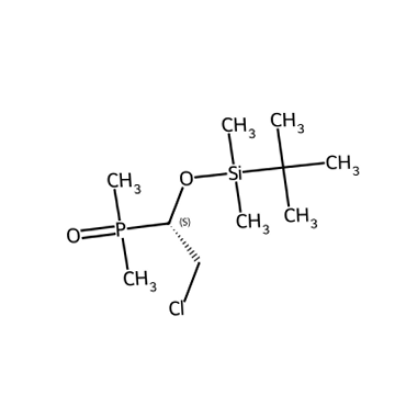 CC(C)(C)[Si](C)(C)O[C@H](CCl)P(C)(C)=O